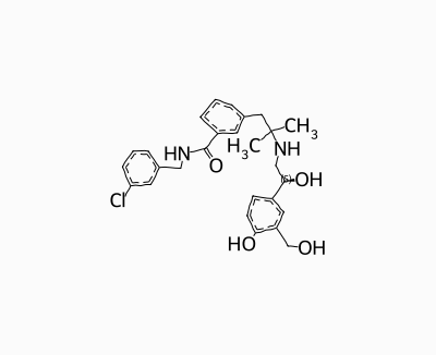 CC(C)(Cc1cccc(C(=O)NCc2cccc(Cl)c2)c1)NC[C@@H](O)c1ccc(O)c(CO)c1